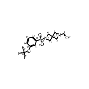 O=CN1CC2(C1)CN(S(=O)(=O)c1cccc(OC(F)(F)F)c1)C2